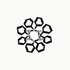 c1ccc([Si]2(c3ccccc3)N[Si](c3ccccc3)(c3ccccc3)N[Si](c3ccccc3)(c3ccccc3)N[Si](c3ccccc3)(c3ccccc3)N2)cc1